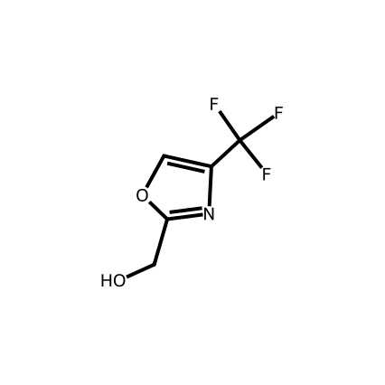 OCc1nc(C(F)(F)F)co1